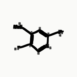 CSc1cc(C(C)C)ncc1F